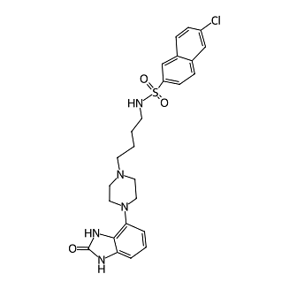 O=c1[nH]c2cccc(N3CCN(CCCCNS(=O)(=O)c4ccc5cc(Cl)ccc5c4)CC3)c2[nH]1